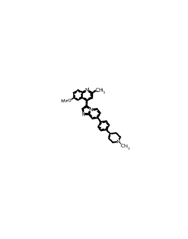 COc1ccc2nc(C)cc(-c3cnc4cc(-c5ccc(C6CCN(C)CC6)cc5)ccn34)c2c1